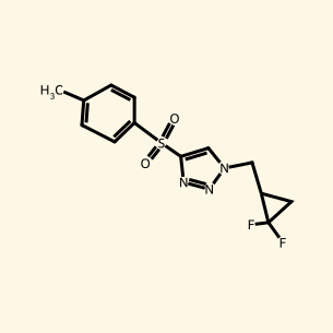 Cc1ccc(S(=O)(=O)c2cn(CC3CC3(F)F)nn2)cc1